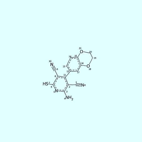 N#Cc1c(N)nc(S)c(C#N)c1-c1ccc2c(c1)OCCO2